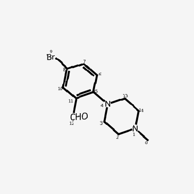 CN1CCN(c2ccc(Br)cc2C=O)CC1